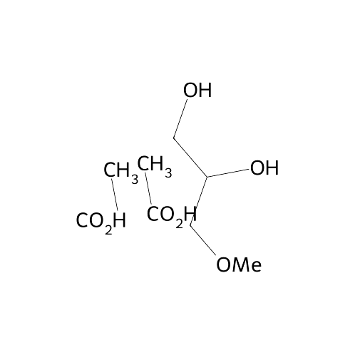 CC(=O)O.CC(=O)O.COCC(O)CO